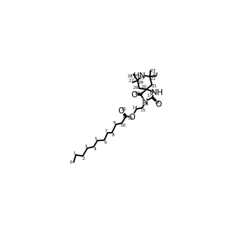 CCCCCCCCCCCC(=O)OCCN1C(=O)NC2(CC(C)(C)NC(C)(C)C2)C1=O